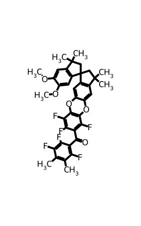 COc1cc2c(cc1OC)C1(CC2(C)C)CC(C)(C)c2cc3c(cc21)Oc1c(F)c(F)c(C(=O)c2c(F)c(C)c(C)c(F)c2F)c(F)c1O3